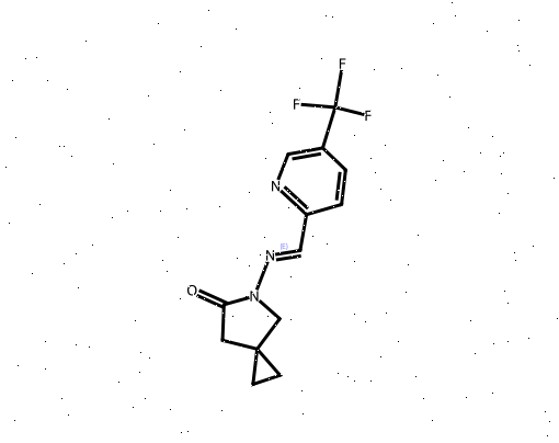 O=C1CC2(CC2)CN1/N=C/c1ccc(C(F)(F)F)cn1